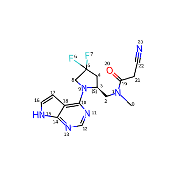 CN(C[C@@H]1CC(F)(F)CN1c1ncnc2[nH]ccc12)C(=O)CC#N